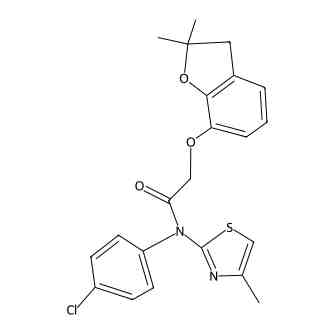 Cc1csc(N(C(=O)COc2cccc3c2OC(C)(C)C3)c2ccc(Cl)cc2)n1